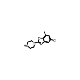 Cc1cc(Cl)cc2nc(N3CCNCC3)oc12